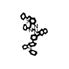 c1ccc(-c2cc3ccc4nc(-n5c6ccc(-c7ccc8c(c7)c7ccccc7n8-c7ccccc7)cc6c6cc7ccccc7cc65)nc(-c5ccccc5)c4c3s2)cc1